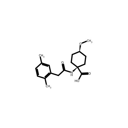 CO[C@H]1CC[C@](NC(=O)Cc2cc(C)ccc2C)(C(=O)O)CC1